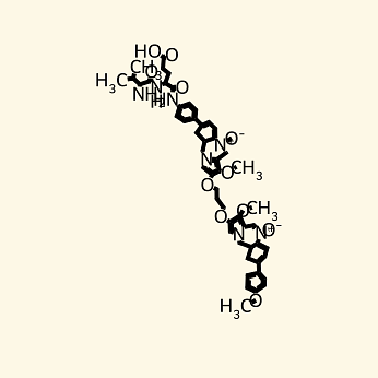 COc1ccc(C2=CC=C3C(C2)Cn2cc(OCCCOc4cn5c(c4OC)C=[N+]([O-])C4=CC=C(c6ccc(NC(=O)C(CCC(=O)O)NC(=O)C(N)C(C)C)cc6)CC4C5)c(OC)c2C=[N+]3[O-])cc1